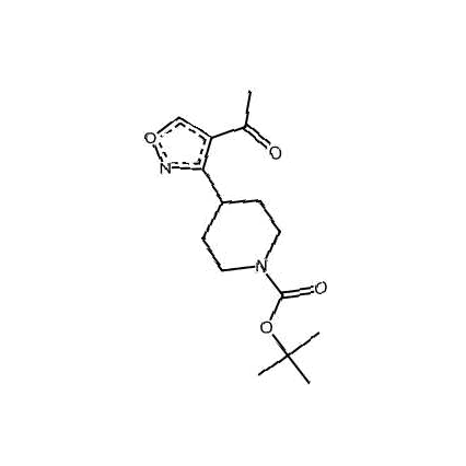 CC(=O)c1conc1C1CCN(C(=O)OC(C)(C)C)CC1